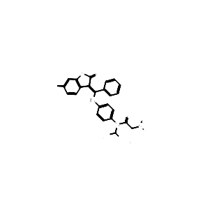 CC(C)N(C(=O)CN(C)C)c1ccc(NC(=C2C(=O)Nc3cc(F)ccc32)c2ccccc2)cc1